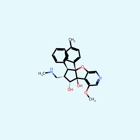 CNC[C@H]1[C@@H](O)[C@@]2(O)c3c(OC)cncc3O[C@@]2(c2ccc(C)cc2)[C@@H]1c1ccccc1